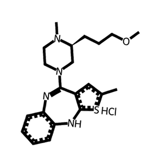 COCCC[C@H]1CN(C2=Nc3ccccc3Nc3sc(C)cc32)CCN1C.Cl